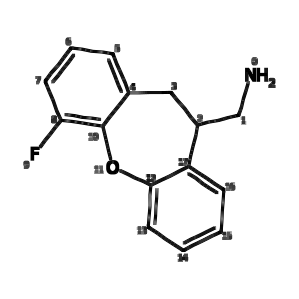 NCC1Cc2cccc(F)c2Oc2ccccc21